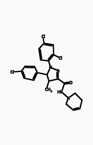 CC1C(C(=O)NN2CC=CCC2)=NN(c2ccc(Cl)cc2Cl)C1c1ccc(Cl)cc1